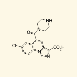 O=C(O)c1ncn2c1cc(C(=O)N1CCNCC1)c1cc(Cl)ccc12